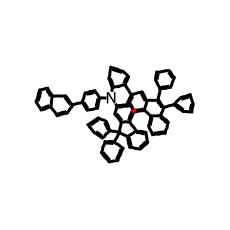 c1ccc(-c2c(-c3ccccc3)c3cc(-c4ccccc4N(c4ccc(-c5ccc6ccccc6c5)cc4)c4ccc5c(c4)C(c4ccccc4)(c4ccccc4)c4ccccc4-5)ccc3c3ccccc23)cc1